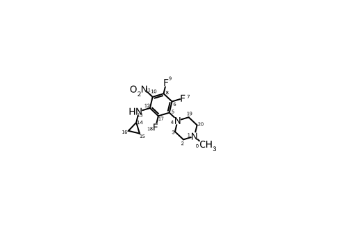 CN1CCN(c2c(F)c(F)c([N+](=O)[O-])c(NC3CC3)c2F)CC1